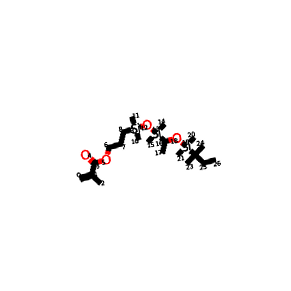 C=C(C)C(=O)OCCC[Si](C)(C)O[Si](C)(C)C(C)O[Si](C)(C)C(C)(C)CC